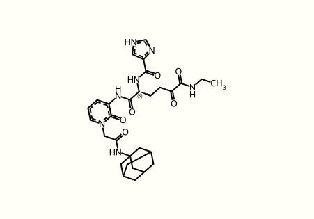 CCNC(=O)C(=O)CC[C@H](NC(=O)c1c[nH]cn1)C(=O)Nc1cccn(CC(=O)NC23CC4CC(CC(C4)C2)C3)c1=O